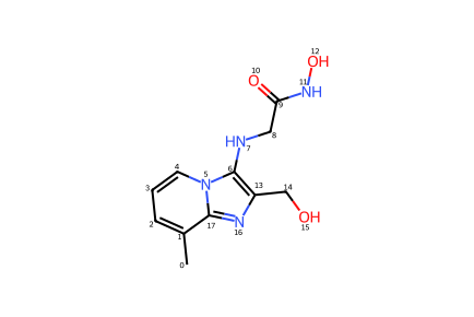 Cc1cccn2c(NCC(=O)NO)c(CO)nc12